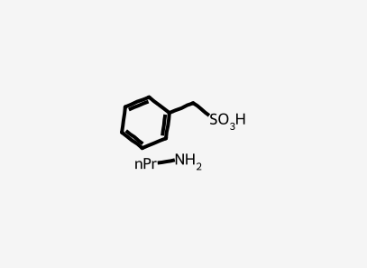 CCCN.O=S(=O)(O)Cc1ccccc1